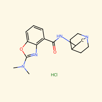 CN(C)c1nc2c(C(=O)NC3CN4CCC3CC4)cccc2o1.Cl